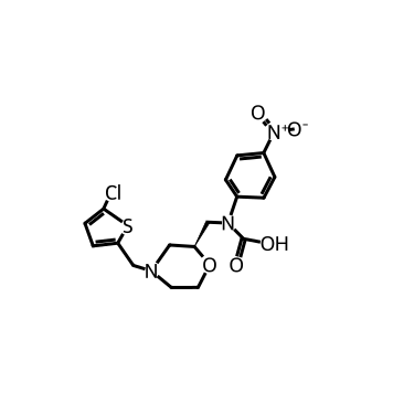 O=C(O)N(C[C@@H]1CN(Cc2ccc(Cl)s2)CCO1)c1ccc([N+](=O)[O-])cc1